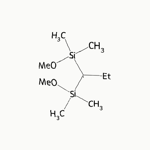 CC[C]([Si](C)(C)OC)[Si](C)(C)OC